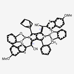 COc1ccc2nc(/C(C#N)=c3/c4c(C5CC6C=CC5C6)n(B5Oc6ccccc6O5)/c(=C(/C#N)c5nc6ccc(OC)cc6s5)c4c(-c4ccccc4C)n3B3Oc4ccccc4O3)sc2c1